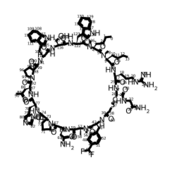 CCCC[C@H]1C(=O)N(C)[C@@H](CCCC)C(=O)N[C@@H](CCCNC(=N)N)C(=O)N[C@H](C(=O)NCC(N)=O)CSCC(=O)N[C@@H](Cc2ccc(C(F)F)cc2)C(=O)N(C)[C@@H](C)C(=O)N[C@@H](CC(N)=O)C(=O)N2CCC[C@H]2C(=O)N[C@@H](Cc2cnc[nH]2)C(=O)N[C@@H](CC(C)=O)C(=O)N2CCC[C@H]2C(=O)N[C@@H](Cc2c[nH]c3ccccc23)C(=O)N[C@@H](CO)C(=O)N[C@@H](Cc2c[nH]c3ccccc23)C(=O)N1C